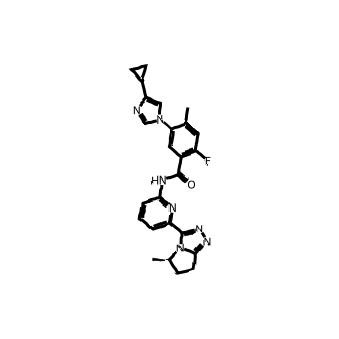 Cc1cc(F)c(C(=O)Nc2cccc(-c3nnc4n3[C@H](C)CC4)n2)cc1-n1cnc(C2CC2)c1